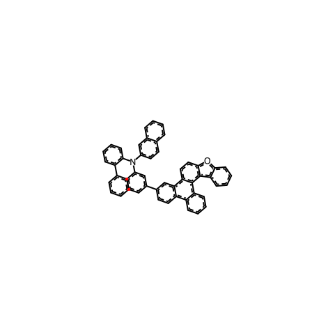 c1ccc(-c2ccccc2N(c2cccc(-c3ccc4c5ccccc5c5c(ccc6oc7ccccc7c65)c4c3)c2)c2ccc3ccccc3c2)cc1